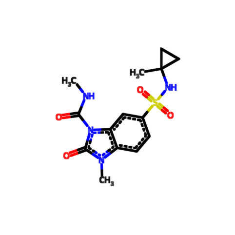 CNC(=O)n1c(=O)n(C)c2ccc(S(=O)(=O)NC3(C)CC3)cc21